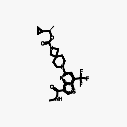 CNC(=O)c1csc2c(C(F)(F)F)cc(N3CCC4(CC3)CN(C(=O)O[C@@H](C)C3CC3)C4)nc12